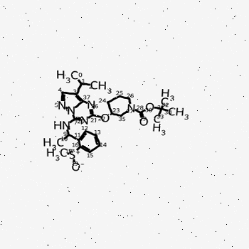 CC(C)c1cnn2c(NC(C)c3ccccc3[S+](C)[O-])nc(O[C@@H]3CCCN(C(=O)OC(C)(C)C)C3)nc12